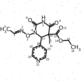 CC=NON1C(=O)NC(=O)C(F)(C(=O)OCC)C1c1ccncc1